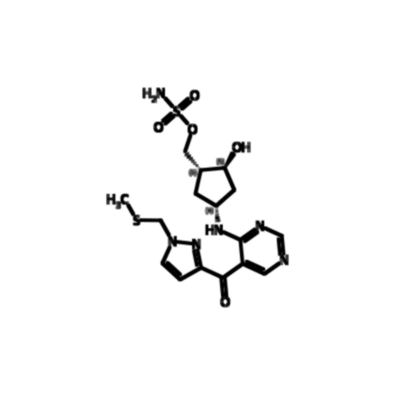 CSCn1ccc(C(=O)c2cncnc2N[C@@H]2C[C@H](COS(N)(=O)=O)[C@@H](O)C2)n1